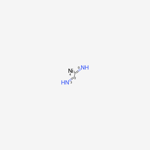 N=CC=N.[Ni]